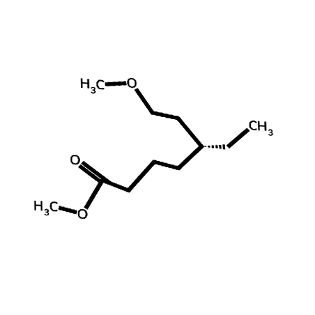 CC[C@H](CCCC(=O)OC)CCOC